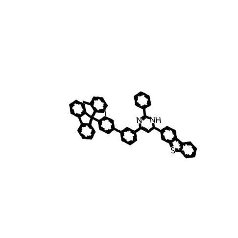 Cc1ccccc1C1(c2ccc(-c3cccc(C4=CC(c5ccc6c(c5)sc5ccccc56)NC(c5ccccc5)=N4)c3)cc2I)c2ccccc2-c2ccccc21